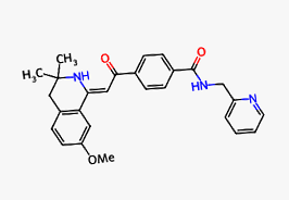 COc1ccc2c(c1)C(=CC(=O)c1ccc(C(=O)NCc3ccccn3)cc1)NC(C)(C)C2